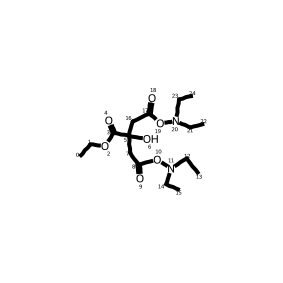 CCOC(=O)C(O)(CC(=O)ON(CC)CC)CC(=O)ON(CC)CC